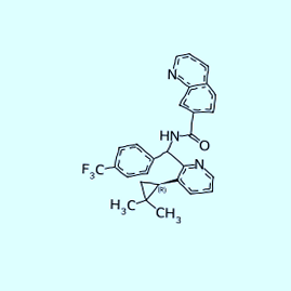 CC1(C)C[C@H]1c1cccnc1C(NC(=O)c1ccc2cccnc2c1)c1ccc(C(F)(F)F)cc1